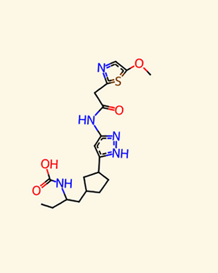 CCC(CC1CCC(c2cc(NC(=O)Cc3ncc(OC)s3)n[nH]2)C1)NC(=O)O